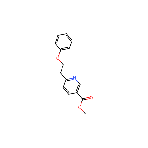 COC(=O)c1ccc(CCOc2ccccc2)nc1